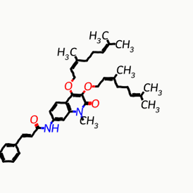 CC(C)=CCCC(C)=CCOc1c(OCC=C(C)CCC=C(C)C)c2ccc(NC(=O)C=Cc3ccccc3)cc2n(C)c1=O